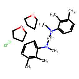 C1CCOC1.C1CCOC1.Cc1cccc([N](C)[Hf+2][N](C)c2cccc(C)c2C)c1C.[Cl-].[Cl-]